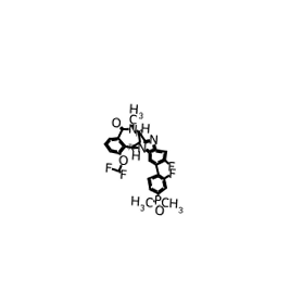 CN1C(=O)c2cccc(OC(F)F)c2[C@H]2C[C@@H]1c1nc3cc(F)c(-c4ccc(P(C)(C)=O)cc4F)cc3n12